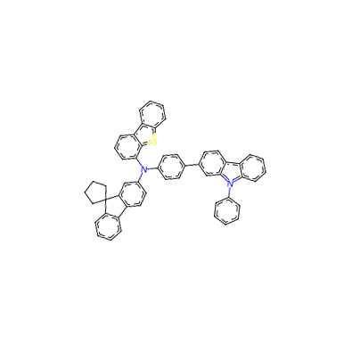 c1ccc(-n2c3ccccc3c3ccc(-c4ccc(N(c5ccc6c(c5)C5(CCCC5)c5ccccc5-6)c5cccc6c5sc5ccccc56)cc4)cc32)cc1